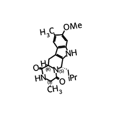 COc1cc2[nH]c3c(c2cc1C)C[C@@H]1C(=O)N[C@@H](C)C(=O)N1[C@H]3CC(C)C